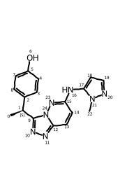 C[C@@H](c1ccc(O)cc1)c1nnc2ccc(Nc3ccnn3C)nn12